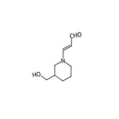 O=CC=CN1CCCC(CO)C1